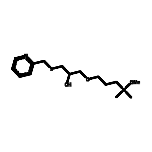 CO[Si](C)(C)CCCOCC(O)CSCc1ccccn1